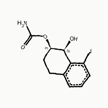 NC(=O)O[C@@H]1CCc2cccc(I)c2[C@@H]1O